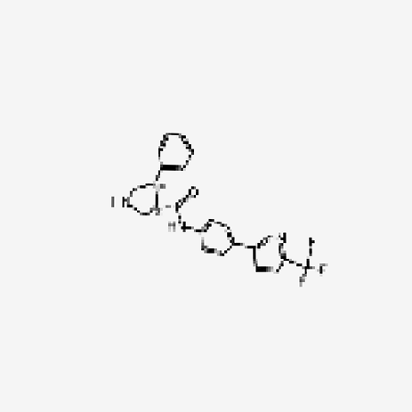 O=C(Nc1ccc(-c2ccc(C(F)(F)F)nc2)cc1)[C@@H]1CNC[C@H]1c1ccccc1